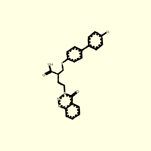 O=C(O)C(CCn1nnc2ccccc2c1=O)CSc1ccc(-c2ccc(Cl)cc2)cc1